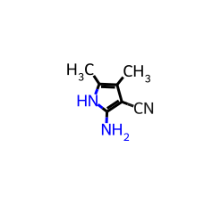 Cc1[nH]c(N)c(C#N)c1C